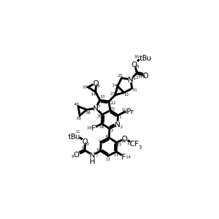 CC(C)c1nc(-c2cc(NC(=O)OC(C)(C)C)cc(F)c2OC(F)(F)F)c(F)c2c1c(C1C3CN(C(=O)OC(C)(C)C)CC31)c(C1CO1)n2C1CC1